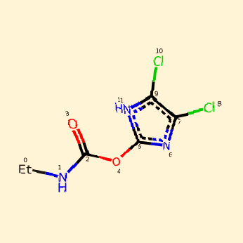 CCNC(=O)Oc1nc(Cl)c(Cl)[nH]1